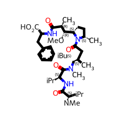 CC[C@H](C)[C@@H](C(C)CC(=O)N1[C@@H](C)CC[C@H]1[C@H](OC)[C@@H](C)C(=O)NC(Cc1ccccc1)C(=O)O)N(C)C(=O)[C@@H](NC(=O)[C@@H](NC)C(C)C)C(C)C